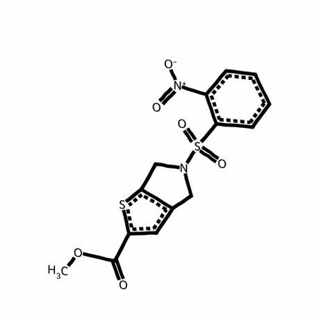 COC(=O)c1cc2c(s1)CN(S(=O)(=O)c1ccccc1[N+](=O)[O-])C2